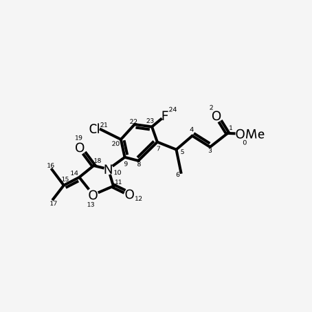 COC(=O)C=CC(C)c1cc(N2C(=O)OC(=C(C)C)C2=O)c(Cl)cc1F